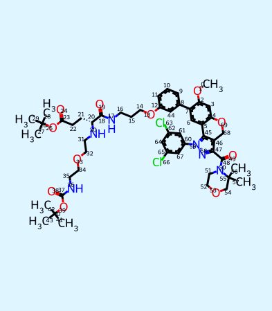 COc1cc2c(cc1-c1cccc(OCCCNC(=O)[C@@H](CCC(=O)OC(C)(C)C)NCCOCCNC(=O)OC(C)(C)C)c1)-c1c(c(C(=O)N3CCOCC3(C)C)nn1-c1cc(Cl)cc(Cl)c1)CO2